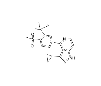 CC(F)(F)c1cc(-c2nccc3[nH]nc(C4CC4)c23)ccc1S(C)(=O)=O